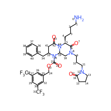 NCCCC[C@H]1C(=O)N(CCCN2CCCC2=O)CC2N(C(=O)OCc3cc(C(F)(F)F)cc(C(F)(F)F)c3)C(Cc3ccccc3)CC(=O)N21